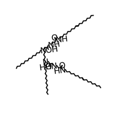 CCCCCCCC/C=C/CCCCCCCCNC(=O)CCNCC(O)CN(CCCCCCCCCCCCCC)CCCCN(CCCCCCCCCCCCCC)CC(O)CNCCC(=O)NCCCCCCCC/C=C/CCCCCCCC